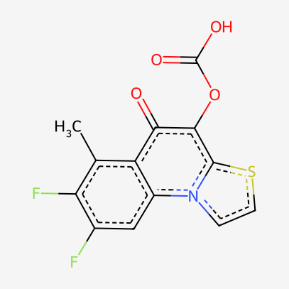 Cc1c(F)c(F)cc2c1c(=O)c(OC(=O)O)c1sccn12